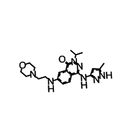 Cc1cc(Nc2nn(C(C)C)c(=O)c3cc(NCCN4CCOCC4)ccc23)n[nH]1